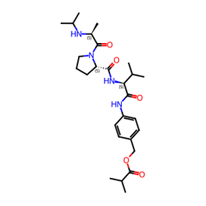 CC(C)N[C@@H](C)C(=O)N1CCC[C@H]1C(=O)N[C@H](C(=O)Nc1ccc(COC(=O)C(C)C)cc1)C(C)C